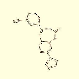 N#Cc1cccc(C2=Nc3ccc(-c4ccsc4)cc3NC(=O)C2)c1